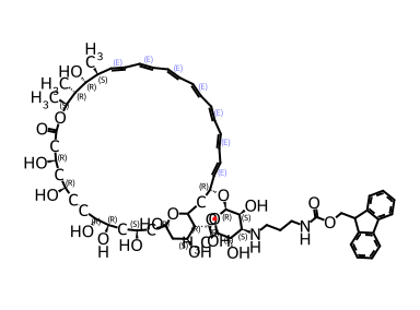 C[C@@H]1[C@H](O)[C@@H](C)/C=C/C=C/C=C/C=C/C=C/C=C/C=C/[C@H](O[C@@H]2O[C@H](C)[C@@H](O)[C@H](NCCCNC(=O)OCC3c4ccccc4-c4ccccc43)[C@@H]2O)CC2O[C@](O)(C[C@@H](O)C[C@@H](O)[C@H](O)CC[C@@H](O)C[C@@H](O)CC(=O)O[C@H]1C)C[C@H](O)[C@H]2C(=O)O